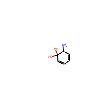 NC1C=CC=CC1(O)O